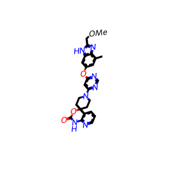 COCc1nc2c(C)cc(Oc3cc(N4CCC5(CC4)OC(=O)Nc4ncccc45)ncn3)cc2[nH]1